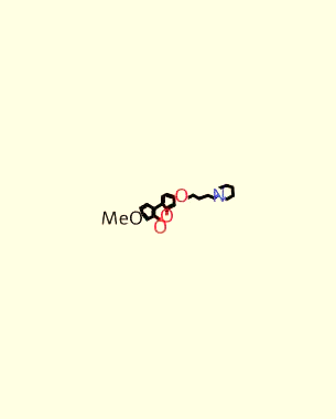 COc1ccc2c(c1)c(=O)oc1cc(OCCCCCN3CCCCC3)ccc12